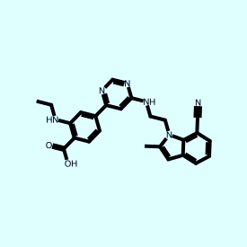 CCNc1cc(-c2cc(NCCn3c(C)cc4cccc(C#N)c43)ncn2)ccc1C(=O)O